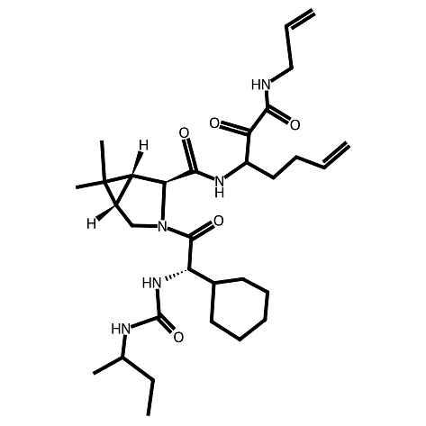 C=CCCC(NC(=O)[C@@H]1[C@@H]2[C@H](CN1C(=O)[C@@H](NC(=O)NC(C)CC)C1CCCCC1)C2(C)C)C(=O)C(=O)NCC=C